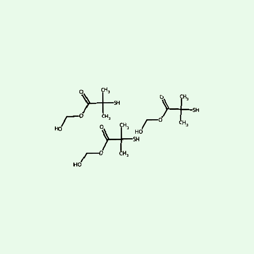 CC(C)(S)C(=O)OCO.CC(C)(S)C(=O)OCO.CC(C)(S)C(=O)OCO